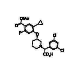 COC(=O)c1cc(C2CC2)c(O[C@@H]2CCCN(C(C(=O)O)c3cc(Cl)cc(Cl)c3)C2)cc1F